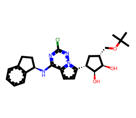 CC(C)(C)OC[C@H]1C[C@@H](c2ccc3c(N[C@@H]4CCc5ccccc54)nc(Cl)nn23)[C@H](O)[C@@H]1O